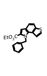 CCOC(=O)c1cc2ccc3sccc3c2n1Cc1ccccc1